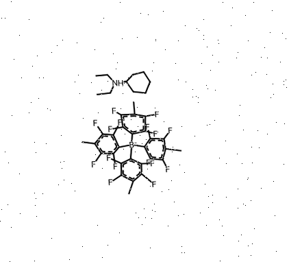 CC[NH+](CC)C1CCCCC1.Cc1c(F)c(F)c([B-](c2c(F)c(F)c(C)c(F)c2F)(c2c(F)c(F)c(C)c(F)c2F)c2c(F)c(F)c(C)c(F)c2F)c(F)c1F